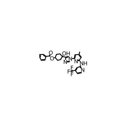 Cc1cc(Nc2cc(C(F)(F)F)ccn2)nc(-n2cnc(C3(O)CCC(OC(=O)c4ccccc4)CC3)c2)c1